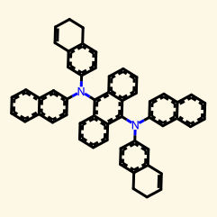 C1=Cc2cc(N(c3ccc4ccccc4c3)c3c4ccccc4c(N(c4ccc5c(c4)C=CCC5)c4ccc5ccccc5c4)c4ccccc34)ccc2CC1